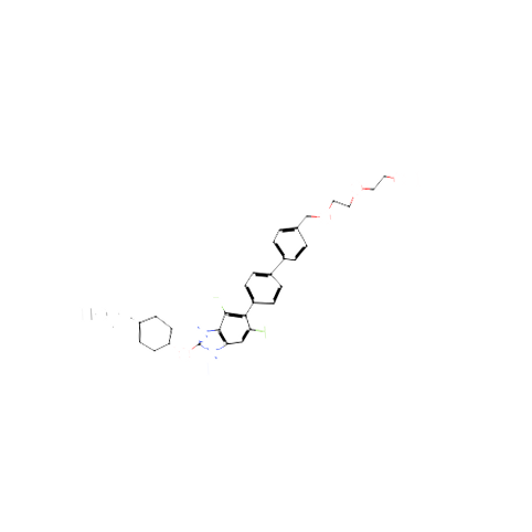 O=C(O)[C@H]1CC[C@H](Oc2nc3c(F)c(-c4ccc(-c5ccc(COCCOCCO)cc5)cc4)c(F)cc3[nH]2)CC1